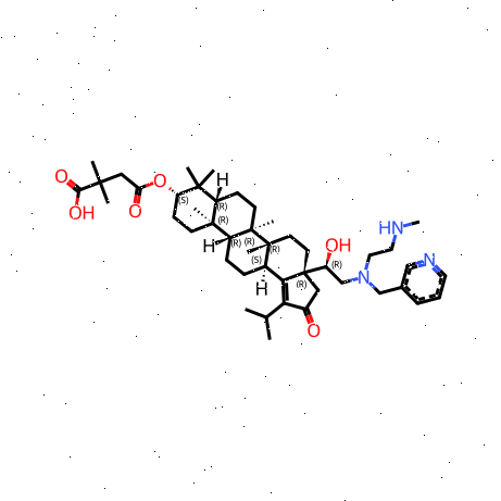 CNCCN(Cc1cccnc1)C[C@H](O)[C@@]12CC[C@]3(C)[C@H](CC[C@@H]4[C@@]5(C)CC[C@H](OC(=O)CC(C)(C)C(=O)O)C(C)(C)[C@@H]5CC[C@]43C)C1=C(C(C)C)C(=O)C2